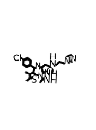 CC(=N)N1C(=N)C(CC(=O)NCCCn2ccnc2)N=C(c2ccc(Cl)cc2)c2c1sc(C)c2C